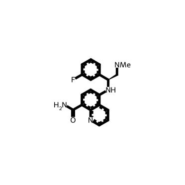 CNC[C@@H](Nc1ccc(C(N)=O)c2ncccc12)c1cccc(F)c1